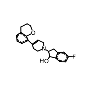 OC1c2ccc(F)cc2CC1N1CC=C(c2cccc3c2OCCC3)CC1